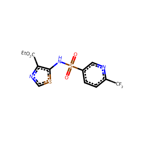 CCOC(=O)c1ncsc1NS(=O)(=O)c1ccc(C(F)(F)F)nc1